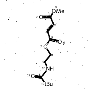 COC(=O)/C=C/C(=O)OCCNC(=O)C(C)(C)C